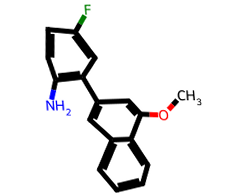 COc1cc(-c2cc(F)ccc2N)cc2ccccc12